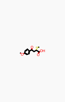 COc1ccc(C(=O)CC(SC)C(=O)O)cc1